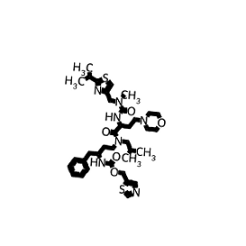 CC(C)CN(CCC(Cc1ccccc1)NC(=O)OCc1cncs1)C(=O)C(CCN1CCOCC1)NC(=O)N(C)Cc1csc(C(C)C)n1